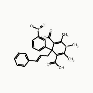 CC1=C(C(=O)O)C(CC=Cc2ccccc2)(c2cccc([N+](=O)[O-])c2)C(C(=O)O)=C(C)N1C